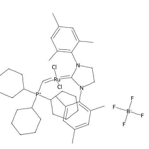 Cc1cc(C)c(N2CCN(c3c(C)cc(C)cc3C)[C]2=[Ru]([Cl])([Cl])=[CH][P+](C2CCCCC2)(C2CCCCC2)C2CCCCC2)c(C)c1.F[B-](F)(F)F